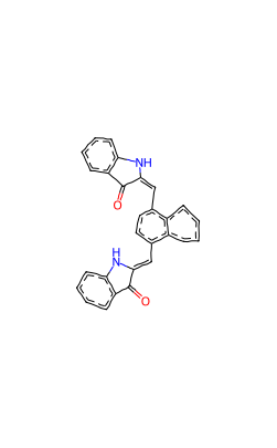 O=C1C(=Cc2ccc(C=C3Nc4ccccc4C3=O)c3ccccc23)Nc2ccccc21